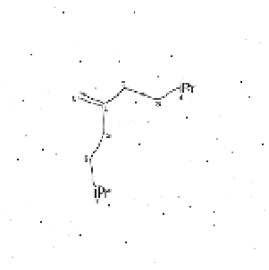 C=C(CCC(C)C)CCC(C)C